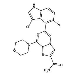 NC(=O)c1cn2cc(-c3c(F)ccc4[nH]cc(Cl)c34)nc(N3CCOCC3)c2n1